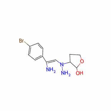 N/C(=C\N(N)C1CCOC1O)c1ccc(Br)cc1